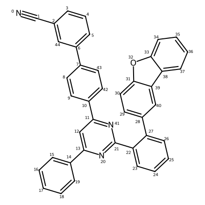 N#Cc1cccc(-c2ccc(-c3cc(-c4ccccc4)nc(-c4ccccc4-c4ccc5oc6ccccc6c5c4)n3)cc2)c1